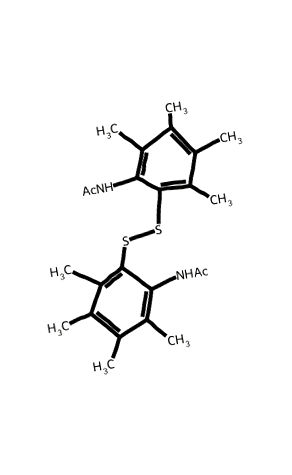 CC(=O)Nc1c(C)c(C)c(C)c(C)c1SSc1c(C)c(C)c(C)c(C)c1NC(C)=O